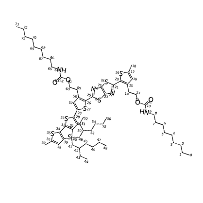 CCCCCCCCCNC(=O)OCCc1cc(C)sc1-c1nc2sc(-c3sc(-c4cc5c(s4)-c4sc(C)cc4[Si]5(CC(CC)CCCC)CC(CC)CCCC)cc3CCOC(=O)NCCCCCCCCC)nc2s1